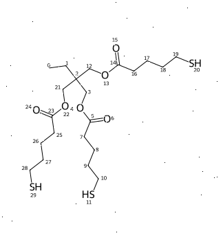 CCC(COC(=O)CCCCS)(COC(=O)CCCCS)COC(=O)CCCCS